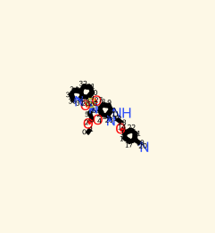 CCOC(=O)CN(c1ccc2[nH]c(COc3ccc(C#N)cc3)nc2c1)S(=O)(=O)c1cccc2cccnc12